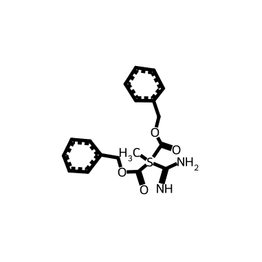 CS(C(=N)N)(C(=O)OCc1ccccc1)C(=O)OCc1ccccc1